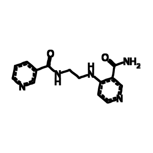 NC(=O)c1cnccc1NCCNC(=O)c1cccnc1